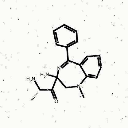 C[C@H](N)C(=O)C1(N)CN(C)c2ccccc2C(c2ccccc2)=N1